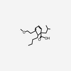 CCCCC1C(CCOC)=CC=CC1(CC(C)C)C(=O)O